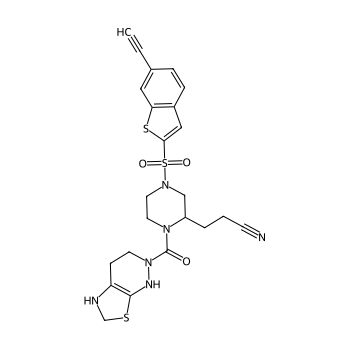 C#Cc1ccc2cc(S(=O)(=O)N3CCN(C(=O)N4CCC5=C(N4)SCN5)C(CCC#N)C3)sc2c1